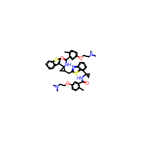 Cc1ccc(OCCN(C)C)cc1C(=O)NC1(c2cccc3nc(CC4CC4(NC(=O)c4cc(OCCN(C)C)ccc4C)c4csc5ccccc45)sc23)CC1